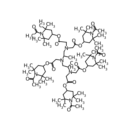 CC(=O)N1C(C)(C)CC(OC(=O)CN(CC(=O)OC2CC(C)(C)N(C(C)=O)C(C)(C)C2)CC(C)N(CC(=O)OC2CC(C)(C)N(C(C)=O)C(C)(C)C2)CC(C)N(CC(=O)OC2CC(C)(C)N(C(C)=O)C(C)(C)C2)CC(=O)OC2CC(C)(C)N(C(C)=O)C(C)(C)C2)CC1(C)C